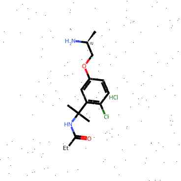 CCC(=O)NC(C)(C)c1cc(OC[C@H](C)N)ccc1Cl.Cl